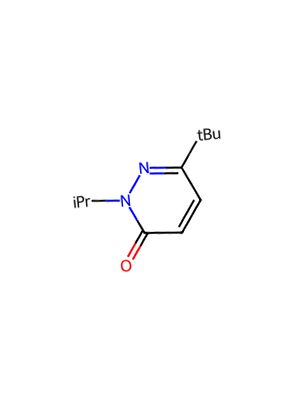 CC(C)n1nc(C(C)(C)C)ccc1=O